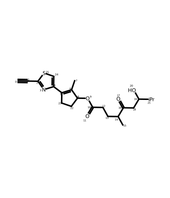 C#Cc1nc(C2=C(C)C(OC(=O)CCC(C)C(=O)CC(O)C(C)C)CC2)cs1